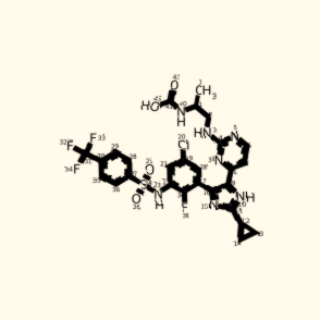 CC(CNc1nccc(-c2[nH]c(C3CC3)nc2-c2cc(Cl)cc(NS(=O)(=O)c3ccc(C(F)(F)F)cc3)c2F)n1)NC(=O)O